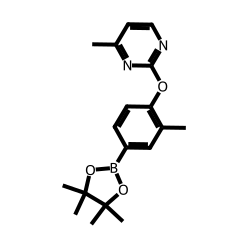 Cc1ccnc(Oc2ccc(B3OC(C)(C)C(C)(C)O3)cc2C)n1